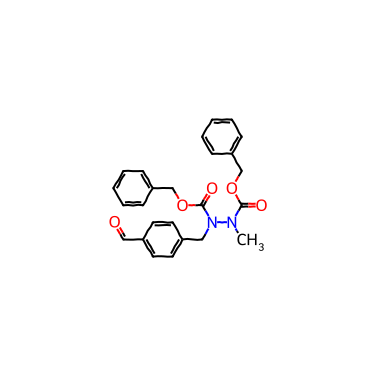 CN(C(=O)OCc1ccccc1)N(Cc1ccc(C=O)cc1)C(=O)OCc1ccccc1